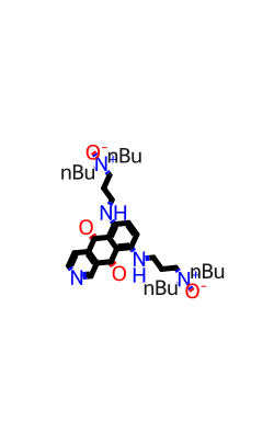 CCCC[N+]([O-])(CCCC)CCCNc1ccc(NCCC[N+]([O-])(CCCC)CCCC)c2c1C(=O)c1ccncc1C2=O